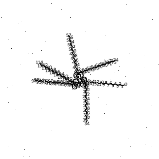 CCCCCCCCCCCCCCCCCC1(CCCCCCCCCCCCCCCCC)O[C@H]([C@@H]2COC(CCCCCCCCCCCCCCCCC)(CCCCCCCCCCCCCCCCC)O2)[C@@H]([C@H]2COC(CCCCCCCCCCCCCCCCC)(CCCCCCCCCCCCCCCCC)O2)O1